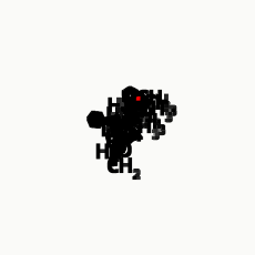 C=CCNC(=O)C(=O)C(CC1CC1)NC(=O)[C@@H]1[C@@H]2C(CN1C(=O)[C@@H](NC(=O)NC1(CS(=O)(=O)C(C)(C)C)CCCCC1)C(C)(C)C)C2c1ccccc1